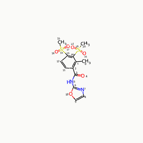 Cc1c(C(=O)Nc2ncco2)ccc(S(C)(=O)=O)c1S(C)(=O)=O